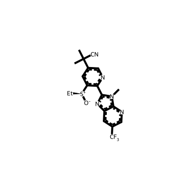 CC[S@+]([O-])c1cc(C(C)(C)C#N)cnc1-c1nc2cc(C(F)(F)F)cnc2n1C